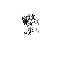 CC(C)OC(=O)CC1SC(c2ccccc2Cl)c2cc(Cl)ccc2-n2c1nnc2C(F)(F)F